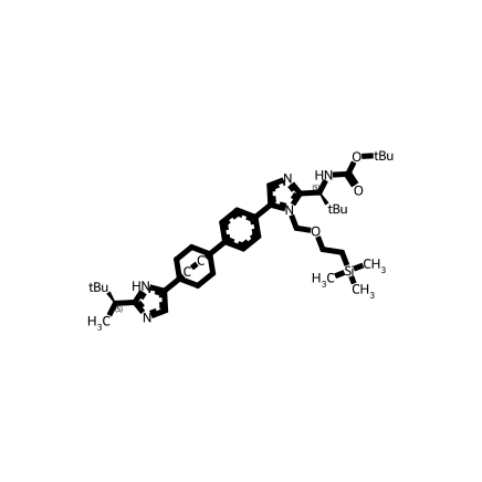 C[C@H](c1ncc(C23CCC(c4ccc(-c5cnc([C@@H](NC(=O)OC(C)(C)C)C(C)(C)C)n5COCC[Si](C)(C)C)cc4)(CC2)CC3)[nH]1)C(C)(C)C